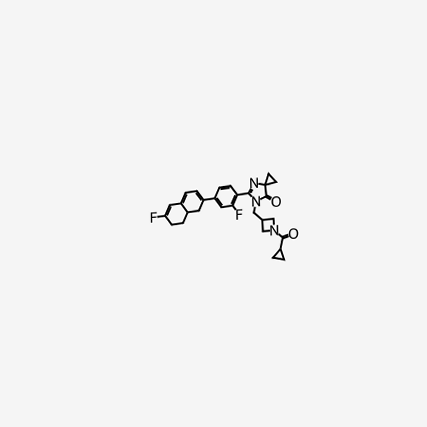 O=C(C1CC1)N1CC(CN2C(=O)C3(CC3)N=C2c2ccc(C3=CC=C4C=C(F)CCC4C3)cc2F)C1